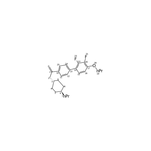 C=C(C[C@H]1CC[C@H](CCC)CC1)c1ccc(-c2ccc(OCCC)c(F)c2F)cc1